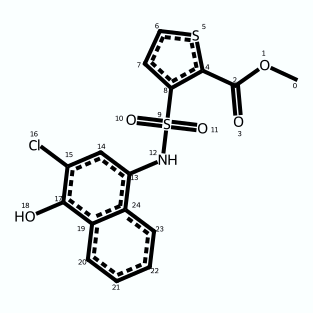 COC(=O)c1sccc1S(=O)(=O)Nc1cc(Cl)c(O)c2ccccc12